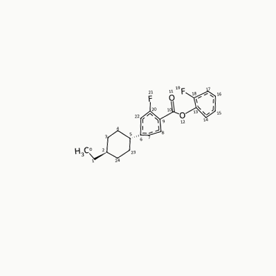 CC[C@H]1CC[C@H](c2ccc(C(=O)Oc3ccccc3F)c(F)c2)CC1